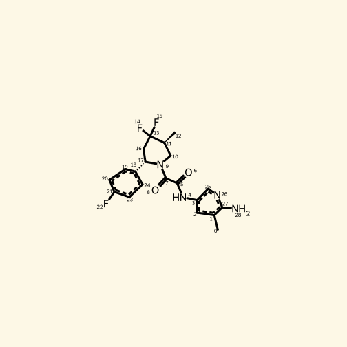 Cc1cc(NC(=O)C(=O)N2C[C@H](C)C(F)(F)C[C@H]2c2ccc(F)cc2)cnc1N